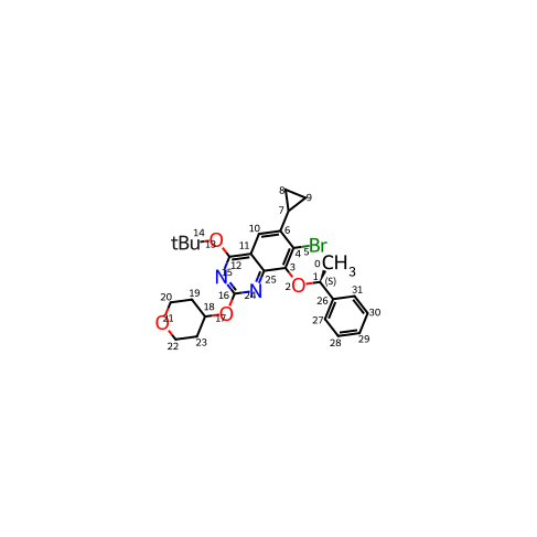 C[C@H](Oc1c(Br)c(C2CC2)cc2c(OC(C)(C)C)nc(OC3CCOCC3)nc12)c1ccccc1